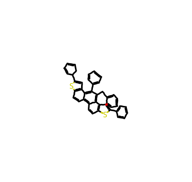 C1=CCC(c2cc3c(ccc4c5ccc6sc(-c7ccccc7)cc6c5c(Cc5ccccc5)c(-c5ccccc5)c34)s2)C=C1